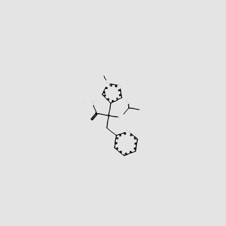 Cn1cc(C(Cc2ccccn2)(OC(F)F)C(N)=O)cn1